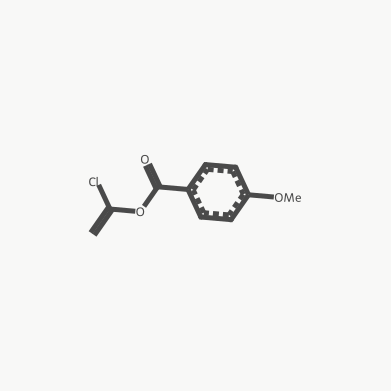 C=C(Cl)OC(=O)c1ccc(OC)cc1